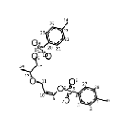 Cc1ccc(S(=O)(=O)O/C=C\COC(C)COS(=O)(=O)c2ccc(C)cc2)cc1